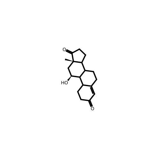 C[C@]12C[C@H](O)C3C4CCC(=O)C=C4CCC3C1CCC2=O